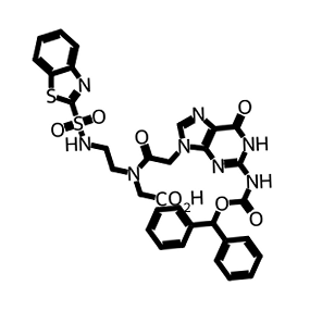 O=C(O)CN(CCNS(=O)(=O)c1nc2ccccc2s1)C(=O)Cn1cnc2c(=O)[nH]c(NC(=O)OC(c3ccccc3)c3ccccc3)nc21